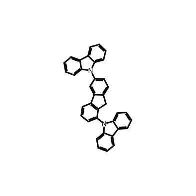 c1cc2c(c(-n3c4ccccc4c4ccccc43)c1)Cc1ccc(-n3c4ccccc4c4ccccc43)cc1-2